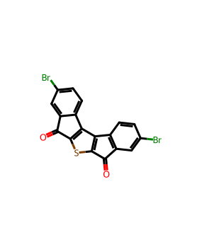 O=c1c2cc(Br)ccc2c2c1sc1c(=O)c3cc(Br)ccc3c12